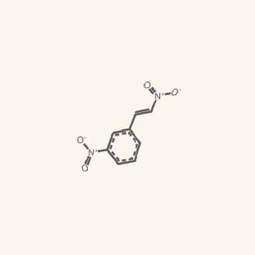 O=[N+]([O-])/C=C/c1cccc([N+](=O)[O-])c1